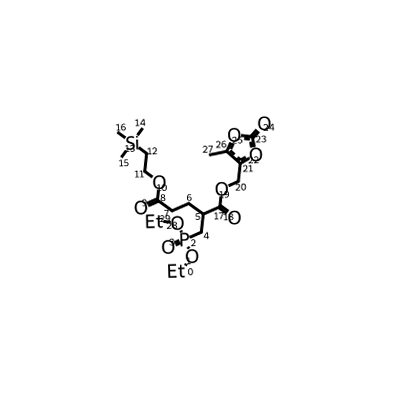 CCOP(=O)(CC(CCC(=O)OCC[Si](C)(C)C)C(=O)OCc1oc(=O)oc1C)OCC